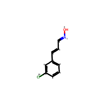 ON=CC=Cc1cccc(Cl)c1